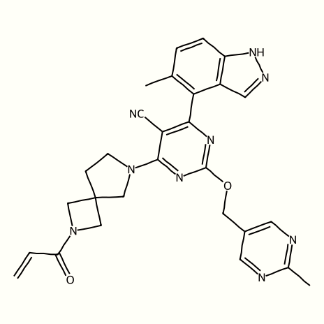 C=CC(=O)N1CC2(CCN(c3nc(OCc4cnc(C)nc4)nc(-c4c(C)ccc5[nH]ncc45)c3C#N)C2)C1